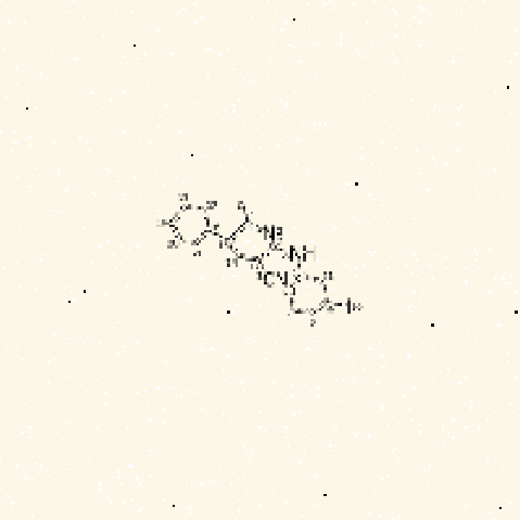 Cc1nc(Nc2cccc(I)c2)c(C#N)cc1-c1ccccc1